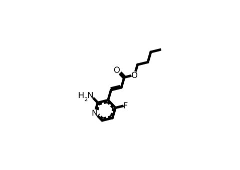 CCCCOC(=O)/C=C/c1c(F)ccnc1N